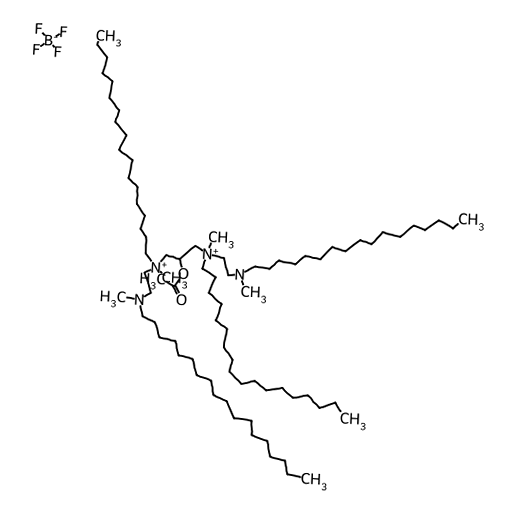 CCCCCCCCCCCCCCCCCCN(C)CC[N+](C)(CCCCCCCCCCCCCCCCCC)CC(C[N+](C)(CCCCCCCCCCCCCCCCCC)CCN(C)CCCCCCCCCCCCCCCCC)OC(C)=O.F[B-](F)(F)F